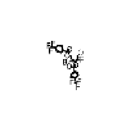 O=C[C@@H](F)[C@H](OC(=O)c1ccc(C(F)(F)F)cc1)[C@@H](Br)COC(=O)c1ccc(C(F)(F)F)cc1